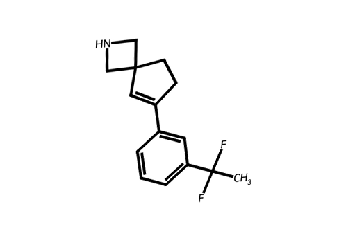 CC(F)(F)c1cccc(C2=CC3(CC2)CNC3)c1